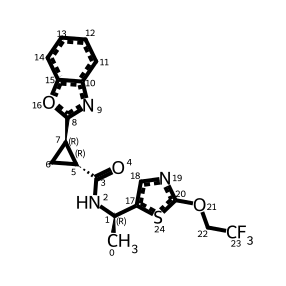 C[C@@H](NC(=O)[C@@H]1C[C@H]1c1nc2ccccc2o1)c1cnc(OCC(F)(F)F)s1